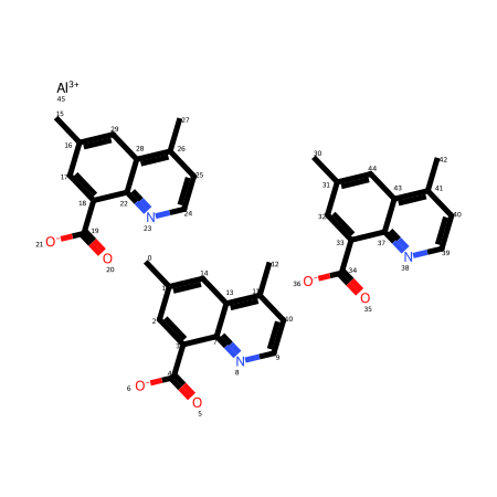 Cc1cc(C(=O)[O-])c2nccc(C)c2c1.Cc1cc(C(=O)[O-])c2nccc(C)c2c1.Cc1cc(C(=O)[O-])c2nccc(C)c2c1.[Al+3]